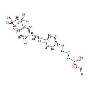 CCOC(=O)CCCCc1ccc(C#Cc2cc3c(cc2C)OC(C)(C)CC3(C)C)nc1